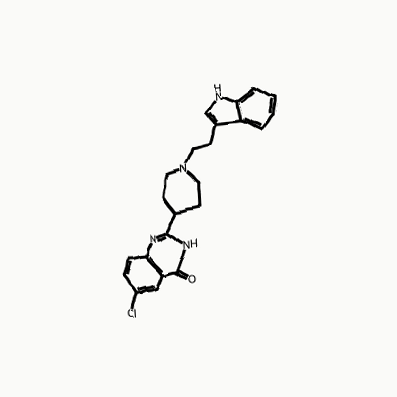 O=c1[nH]c(C2CCN(CCc3c[nH]c4ccccc34)CC2)nc2ccc(Cl)cc12